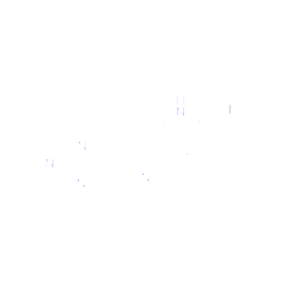 C=C1COC(C2=NCC(c3ncncn3)=C2)C(=O)N1